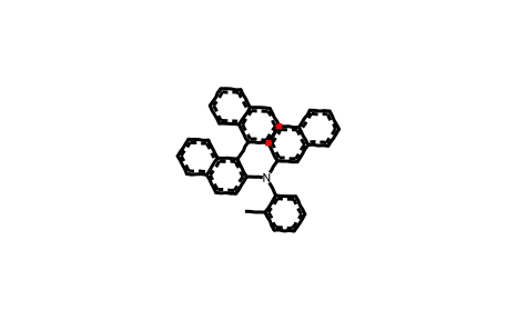 Cc1ccccc1N(c1ccc2ccccc2c1)c1ccc2ccccc2c1-c1cccc2ccccc12